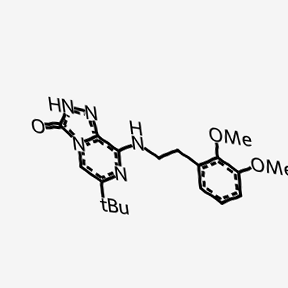 COc1cccc(CCNc2nc(C(C)(C)C)cn3c(=O)[nH]nc23)c1OC